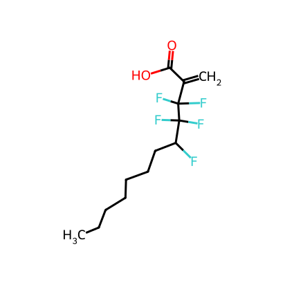 C=C(C(=O)O)C(F)(F)C(F)(F)C(F)CCCCCCC